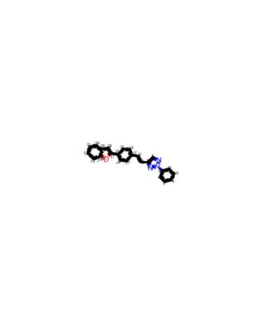 C(=C\c1cnn(-c2ccccc2)n1)/c1ccc(-c2cc3ccccc3o2)cc1